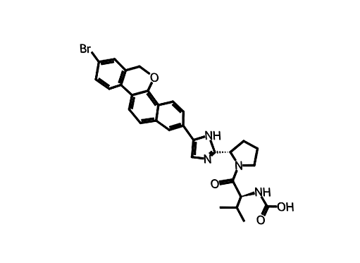 CC(C)[C@H](NC(=O)O)C(=O)N1CCC[C@H]1c1ncc(-c2ccc3c4c(ccc3c2)-c2ccc(Br)cc2CO4)[nH]1